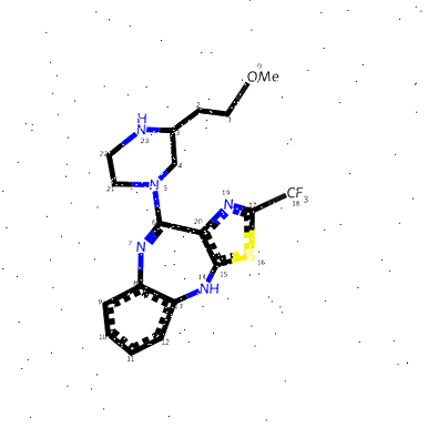 COCCC1CN(C2=Nc3ccccc3Nc3sc(C(F)(F)F)nc32)CCN1